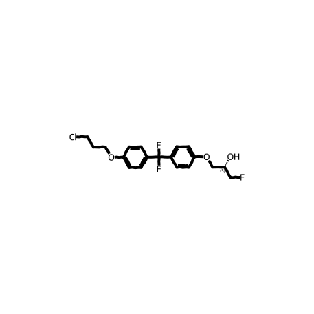 O[C@H](CF)COc1ccc(C(F)(F)c2ccc(OCCCCl)cc2)cc1